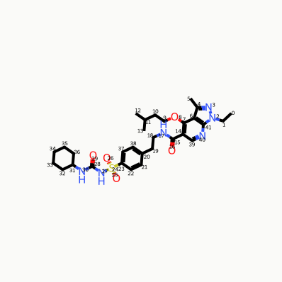 CCn1nc(C)c2c(OCCC(C)C)c(C(=O)NCCc3ccc(S(=O)(=O)NC(=O)NC4CCCCC4)cc3)cnc21